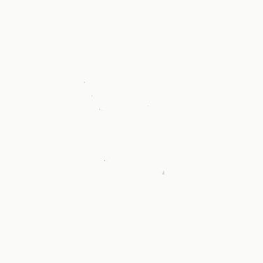 CC(C)(C)OC=O.[N-]=[N+]=NCc1cnc(C2CCNCC2)s1